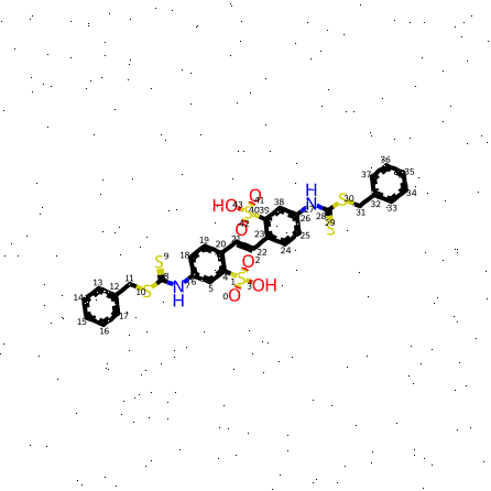 O=S(=O)(O)c1cc(NC(=S)SCc2ccccc2)ccc1C=Cc1ccc(NC(=S)SCc2ccccc2)cc1S(=O)(=O)O